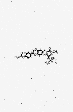 COC(=O)[C@H](Cc1ccc2c(c1)OCC(c1ccc(OC(C)=O)cc1)O2)NC(=O)OC(C)(C)C